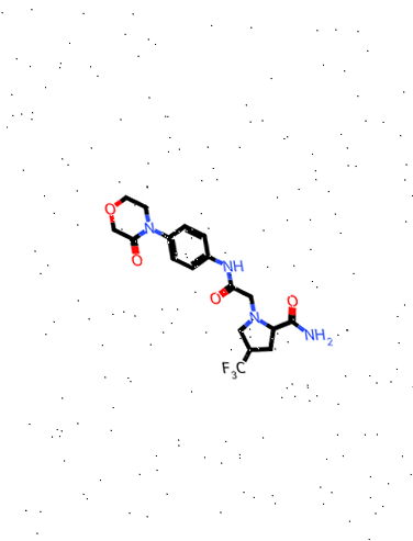 NC(=O)C1[CH]C(C(F)(F)F)CN1CC(=O)Nc1ccc(N2CCOCC2=O)cc1